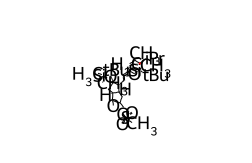 CC(C)C[C@H](C)C[C@@H](/C=C/[C@H]1[C@H]2CC3(COS(C)(=O)=O)OC3[C@H]2C[C@H]1O[Si](C)(C)C(C)(C)C)O[Si](C)(C)C(C)(C)C